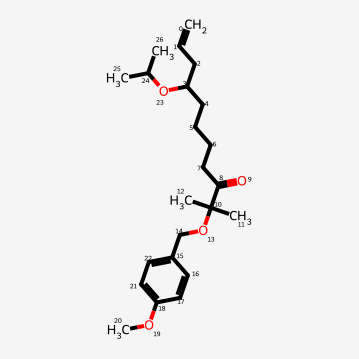 C=CCC(CCCCC(=O)C(C)(C)OCc1ccc(OC)cc1)OC(C)C